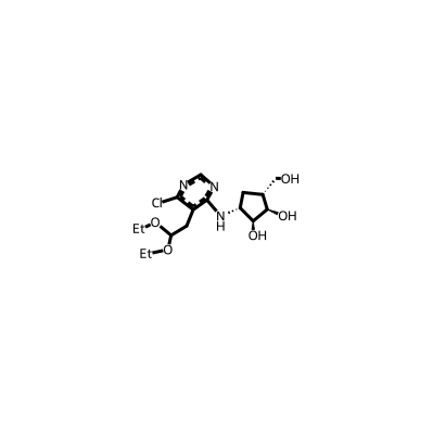 CCOC(Cc1c(Cl)ncnc1N[C@@H]1C[C@H](CO)[C@@H](O)[C@H]1O)OCC